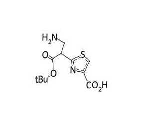 CC(C)(C)OC(=O)C(CN)c1nc(C(=O)O)cs1